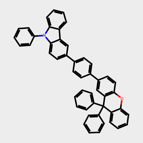 c1ccc(-n2c3ccccc3c3cc(-c4ccc(-c5ccc6c(c5)C(c5ccccc5)(c5ccccc5)c5ccccc5O6)cc4)ccc32)cc1